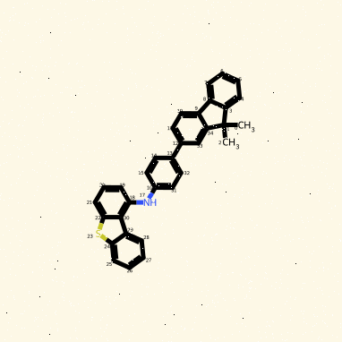 CC1(C)c2ccccc2-c2ccc(-c3ccc(Nc4cccc5sc6ccccc6c45)cc3)cc21